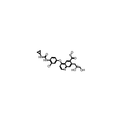 O=NC(=O)c1cc2c(Oc3ccc(NC(=O)NC4CC4)c(Cl)c3)ccnc2cc1C[C@H](O)CO